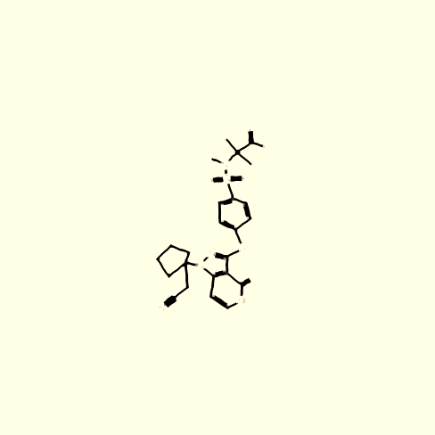 CN(C(C)(C)C(=O)O)S(=O)(=O)c1ccc(Nc2nn(C3(CC#N)CCCC3)c3cc[nH]c(=O)c23)cc1